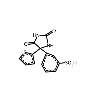 O=C1NC(=O)C(c2cccc(S(=O)(=O)O)c2)(c2cccs2)N1